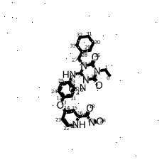 CCN1C(=O)N(N)C(Nc2ccc(OC3=CC(C(=O)N=O)NC=C3)cc2)N(CC2CCCCC2)C1=O